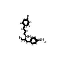 Nc1ccc(CC(CF)NCCCc2ccc(F)cc2)cc1